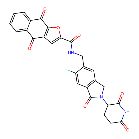 O=C1CCC(N2Cc3cc(CNC(=O)c4cc5c(o4)C(=O)c4ccccc4C5=O)c(F)cc3C2=O)C(=O)N1